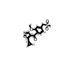 COc1cc(CS(C)(=O)=O)ccc1C(=O)c1cnoc1C1CC1